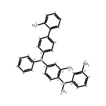 Cc1ccccc1-c1ccc(N(c2ccccc2)c2ccc(N(C)c3cccc([N+](=O)[O-])c3)c(C)c2)cc1